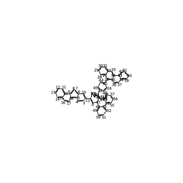 C1=C(c2ccc3c(ccc4c5ccccc5ccc34)c2)N=C(c2ccc(-c3c4ccccc4cc4c3ccc3ccccc34)cc2)NC1c1ccccc1-c1ccccc1